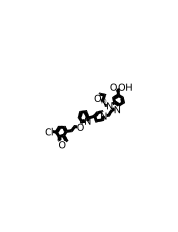 O=C(O)c1ccc2nc(CN3CC=C(c4cccc(OCCc5ccc(Cl)c6cocc56)n4)CC3)n(C[C@@H]3CCO3)c2c1